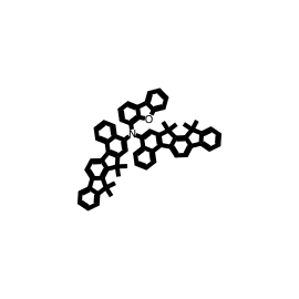 CC1(C)c2ccccc2-c2ccc3c(c21)C(C)(C)c1cc(N(c2cc4c(c5ccccc25)-c2ccc5c(c2C4(C)C)C(C)(C)c2ccccc2-5)c2cccc4c2oc2ccccc24)c2ccccc2c1-3